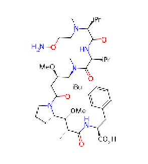 CC[C@H](C)[C@@H]([C@@H](CC(=O)N1CCC[C@H]1[C@H](OC)[C@@H](C)C(=O)N[C@@H](Cc1ccccc1)C(=O)O)OC)N(C)C(=O)[C@@H](NC(=O)[C@H](C(C)C)N(C)CCON)C(C)C